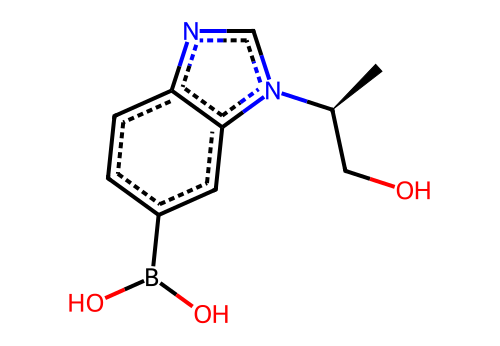 C[C@@H](CO)n1cnc2ccc(B(O)O)cc21